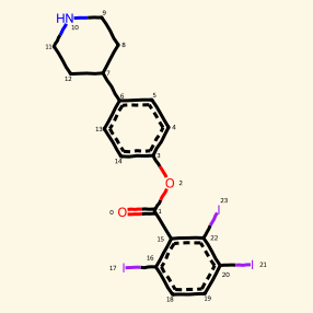 O=C(Oc1ccc(C2CCNCC2)cc1)c1c(I)ccc(I)c1I